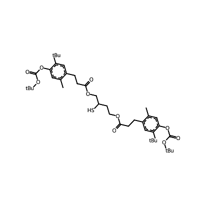 Cc1cc(OC(=O)OC(C)(C)C)c(C(C)(C)C)cc1CCC(=O)OCCC(S)COC(=O)CCc1cc(C(C)(C)C)c(OC(=O)OC(C)(C)C)cc1C